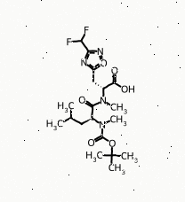 CC(C)C[C@@H](C(=O)N(C)[C@H](Cc1nc(C(F)F)no1)C(=O)O)N(C)C(=O)OC(C)(C)C